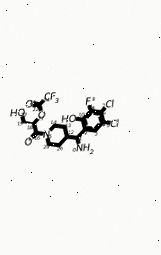 NC(c1cc(Cl)c(Cl)c(F)c1O)C1CCN(C(=O)[C@@H](CO)OC(=O)C(F)(F)F)CC1